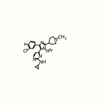 CCCn1c(C2CCN(C)CC2)nc(-c2ccc(I)c(Cl)c2)c1-c1ccnc(NC2CC2)n1